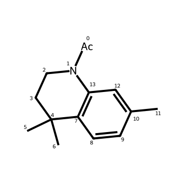 CC(=O)N1CCC(C)(C)c2ccc(C)cc21